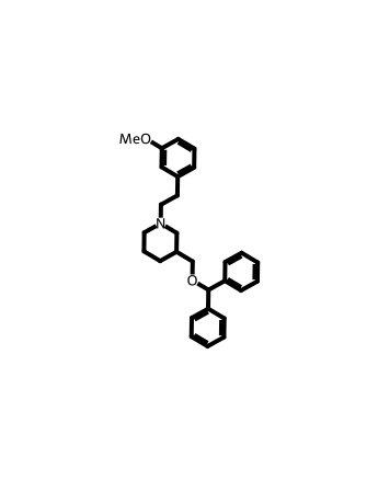 COc1cccc(CCN2CCCC(COC(c3ccccc3)c3ccccc3)C2)c1